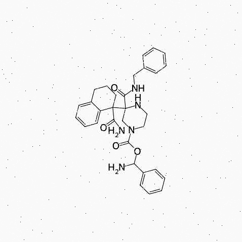 NC(=O)C1(C2(C(=O)NCc3ccccc3)CN(C(=O)OC(N)c3ccccc3)CCN2)CCCc2ccccc21